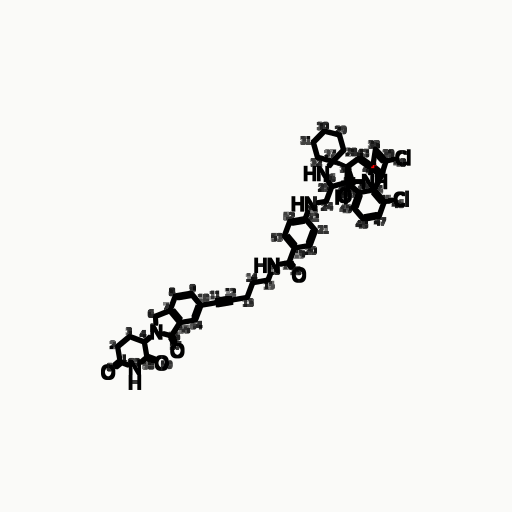 O=C1CCC(N2Cc3ccc(C#CCCCNC(=O)c4ccc(NCC5NC6(CCCCC6)[C@]67C(=O)Nc8cc(Cl)c(cc86)-c6c(Cl)cccc6[C@@H]57)cc4)cc3C2=O)C(=O)N1